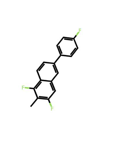 Cc1c(F)cc2cc(-c3ccc(F)cc3)ccc2c1F